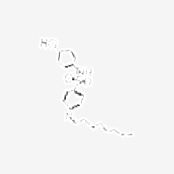 CCCCCCC/C=N\c1ccc(S(=O)(=O)Nc2ccc(O)cc2)cc1